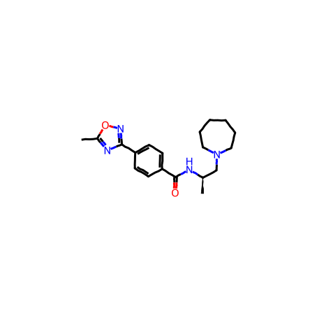 Cc1nc(-c2ccc(C(=O)N[C@H](C)CN3CCCCCC3)cc2)no1